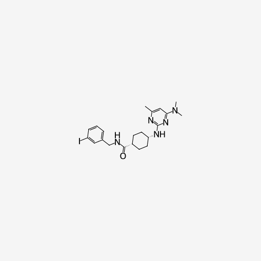 Cc1cc(N(C)C)nc(N[C@H]2CC[C@@H](C(=O)NCc3cccc(I)c3)CC2)n1